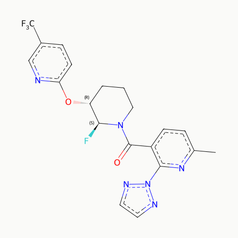 Cc1ccc(C(=O)N2CCC[C@@H](Oc3ccc(C(F)(F)F)cn3)[C@@H]2F)c(-n2nccn2)n1